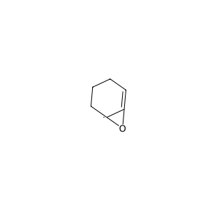 C1=C2O[C]2CCC1